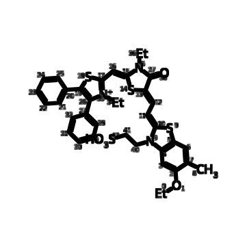 CCOc1cc2c(cc1C)SC(=CC=c1sc(=Cc3sc(-c4ccccc4)c(-c4ccccc4)[n+]3CC)n(CC)c1=O)N2CCS(=O)(=O)O